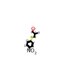 CC(C[O])CSc1ccc([N+](=O)[O-])cc1